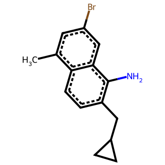 Cc1cc(Br)cc2c(N)c(CC3CC3)ccc12